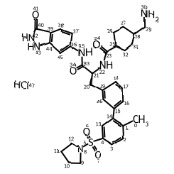 Cc1ccc(S(=O)(=O)N2CCCC2)cc1-c1cccc(C[C@H](NC(=O)C2CCC(CN)CC2)C(=O)Nc2ccc3c(=O)[nH][nH]c3c2)c1.Cl